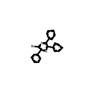 Brc1nc(-c2ccccc2)c(-c2ccccc2)nc1-c1ccccc1